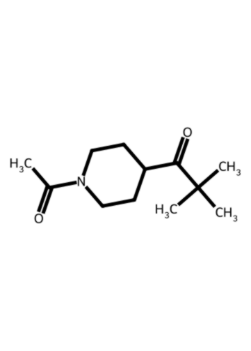 CC(=O)N1CCC(C(=O)C(C)(C)C)CC1